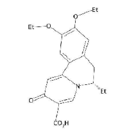 CCOc1cc2c(cc1OCC)-c1cc(=O)c(C(=O)O)cn1[C@@H](CC)C2